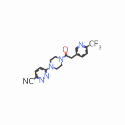 N#Cc1ccc(N2CCN(C(=O)Cc3ccc(C(F)(F)F)nc3)CC2)nn1